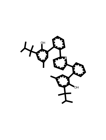 Cc1cc(-c2ccccc2-c2cccc(-c3ccccc3-c3cc(C)cc(C(C)(C)C(C)C)c3O)n2)c(O)c(C(C)(C)C(C)C)c1